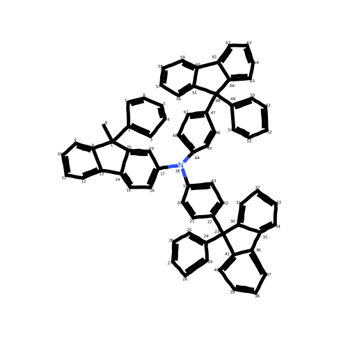 CC1(c2ccccc2)c2ccccc2-c2ccc(N(c3ccc(C4(c5ccccc5)c5ccccc5-c5ccccc54)cc3)c3ccc(C4(c5ccccc5)c5ccccc5-c5ccccc54)cc3)cc21